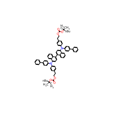 CCCCC(C)(C)OC(=O)OCCc1ccc(N(c2ccc(-c3ccccc3)cc2)c2ccc(-c3ccc(N(c4ccc(CCOC(=O)OC(C)(C)CCCC)cc4)c4ccc(-c5ccccc5)cc4)c4ccccc34)c3ccccc23)cc1